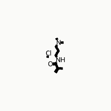 C=C(C)C(=O)NCCCN(C)C.CCl